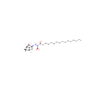 CCCCCCCCCCCCCCCC(O)C(/N=C1\C[C@@H]2C[C@@H](C2(C)C)[C@]1(C)O)C(=O)O